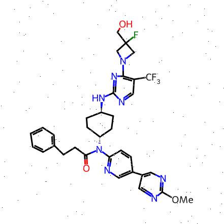 COc1ncc(-c2ccc(N(C(=O)CCc3ccccc3)[C@H]3CC[C@H](Nc4ncc(C(F)(F)F)c(N5CC(F)(CO)C5)n4)CC3)nc2)cn1